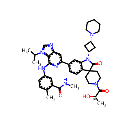 CNC(=O)c1cc(Nc2nc(-c3ccc4c(c3)N([C@H]3C[C@@H](N5CCCCC5)C3)C(=O)C43CCN(C(=O)[C@@H](C)O)CC3)cc3ncn(C(C)C)c23)ccc1C